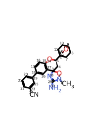 CN1OC2(C[C@H](C34CCC(CC3)OC4)Oc3ccc(-c4cccc(C#N)c4)cc32)N=C1N